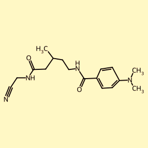 CC(CCNC(=O)c1ccc(N(C)C)cc1)CC(=O)NCC#N